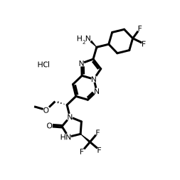 COC[C@H](c1cnn2cc([C@@H](N)C3CCC(F)(F)CC3)nc2c1)N1C[C@@H](C(F)(F)F)NC1=O.Cl